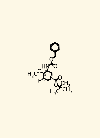 CO[C@H]1[C@@H](NC(=O)OCc2ccccc2)CN(C(=O)OC(C)(C)C)C[C@@H]1F